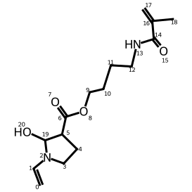 C=CN1CCC(C(=O)OCCCCNC(=O)C(=C)C)C1O